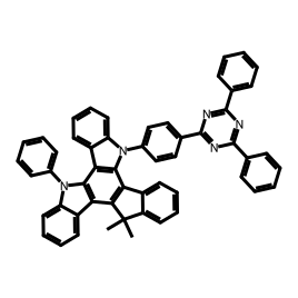 CC1(C)c2ccccc2-c2c1c1c3ccccc3n(-c3ccccc3)c1c1c3ccccc3n(-c3ccc(-c4nc(-c5ccccc5)nc(-c5ccccc5)n4)cc3)c21